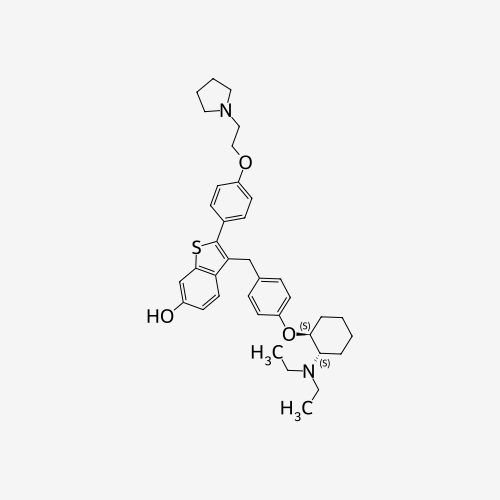 CCN(CC)[C@H]1CCCC[C@@H]1Oc1ccc(Cc2c(-c3ccc(OCCN4CCCC4)cc3)sc3cc(O)ccc23)cc1